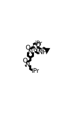 CC(C)CCN(C)C(=O)CC1CCN(C(=O)[C@H](CC(C)C)N2CCN[C@@H](CC3CC3)C2=O)CC1